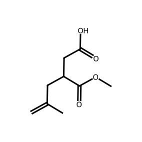 C=C(C)CC(CC(=O)O)C(=O)OC